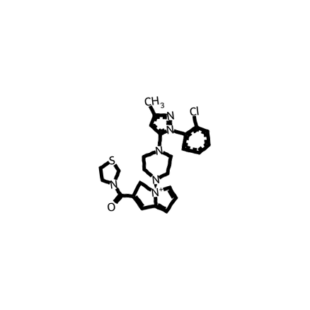 Cc1cc(N2CCN([N@@+]34C=CC=C3C=C(C(=O)N3CCSC3)C4)CC2)n(-c2ccccc2Cl)n1